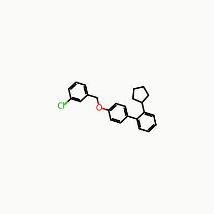 Clc1cccc(COc2ccc(-c3ccccc3C3CCCC3)cc2)c1